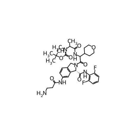 CC(C(=O)NC(C(=O)N1Cc2ccc(NC(=O)CCN)cc2[C@H]1C(=O)Nc1c(F)cccc1F)C1CCOCC1)N(C)C(=O)OC(C)(C)C